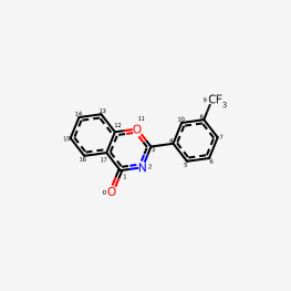 O=c1nc(-c2cccc(C(F)(F)F)c2)oc2ccccc12